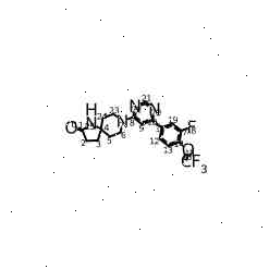 O=C1CCC2(CCN(c3cc(-c4ccc(OC(F)(F)F)c(F)c4)ncn3)CC2)N1